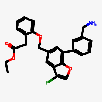 CCOC(=O)Cc1ccccc1OCc1cc(-c2cccc(CN)c2)c2occ(F)c2c1